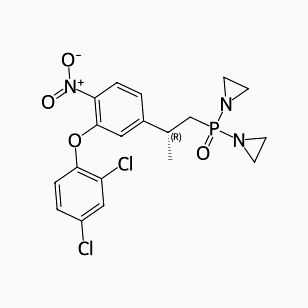 C[C@@H](CP(=O)(N1CC1)N1CC1)c1ccc([N+](=O)[O-])c(Oc2ccc(Cl)cc2Cl)c1